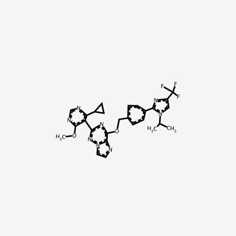 COc1ncnc(C2CC2)c1-c1nc(OCc2ccc(-c3nc(C(F)(F)F)cn3C(C)C)cc2)c2nccn2n1